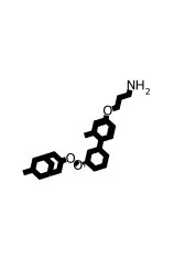 CC1CC2CC(C1)CC(OO[C@@H]1CCCC(C3C=CC(OCCCN)=CC3C)C1)C2